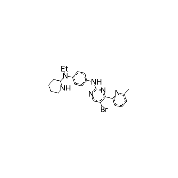 CCN(c1ccc(Nc2ncc(Br)c(-c3cccc(C)n3)n2)cc1)C1CCCCN1